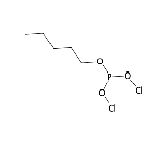 CCCCCOP(OCl)OCl